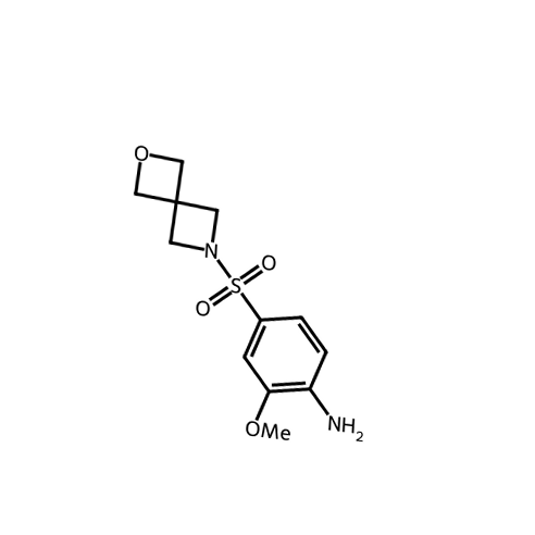 COc1cc(S(=O)(=O)N2CC3(COC3)C2)ccc1N